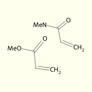 C=CC(=O)NC.C=CC(=O)OC